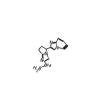 BBc1cn2c(n1)CCC2c1cn2ccccc2n1